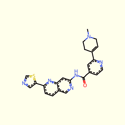 CN1CC=C(c2cc(C(=O)Nc3cc4nc(-c5cncs5)ccc4cn3)ccn2)CC1